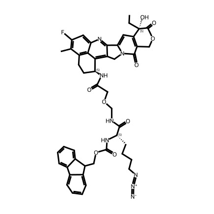 CC[C@@]1(O)C(=O)OCc2c1cc1n(c2=O)Cc2c-1nc1cc(F)c(C)c3c1c2[C@@H](NC(=O)COCNC(=O)[C@H](CCCCN=[N+]=[N-])NC(=O)OCC1c2ccccc2-c2ccccc21)CC3